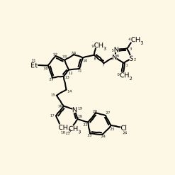 C=C1SC(C)=NN1/C=C(\C)C1=Cc2c(CCC(=C/C)/N=C(\C)c3ccc(Cl)cc3)cc(CC)cc2C1